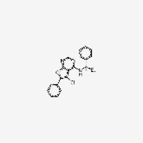 CC[C@@H](Nc1ncnc2oc(-c3ccccc3)c(Cl)c12)c1ccccc1